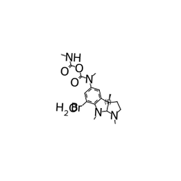 CNC(=O)OC(=O)N(C)c1cc(Br)c2c(c1)[C@]1(C)CCN(C)C1N2C.O